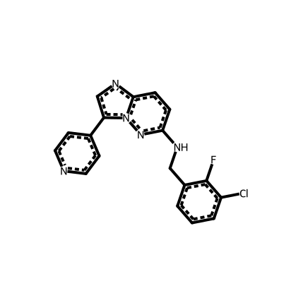 Fc1c(Cl)cccc1CNc1ccc2ncc(-c3ccncc3)n2n1